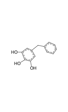 Oc1cc(Cc2ccccc2)cc(O)c1O